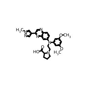 COc1cc(OC)cc(N(CCN2CCCC2C(=O)O)c2ccc3ncc(-c4cnn(C)c4)nc3c2)c1